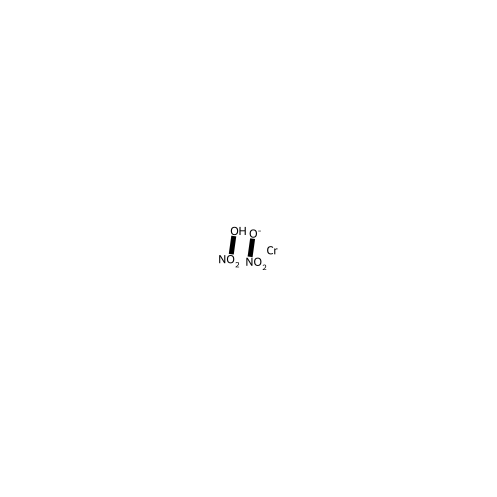 O=[N+]([O-])O.O=[N+]([O-])[O-].[Cr]